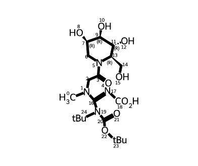 CN(CC(=O)N1C[C@@H](O)[C@@H](O)[C@H](O)[C@H]1CO)C(=NC(=O)O)N(C(=O)OC(C)(C)C)C(C)(C)C